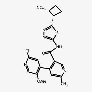 COc1cnc(Cl)cc1-c1cc(C)ncc1C(=O)Nc1nnc([C@H]2CC[C@H]2C#N)s1